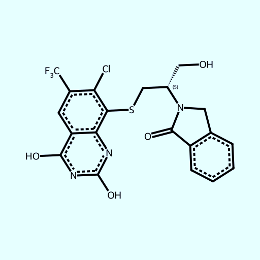 O=C1c2ccccc2CN1[C@@H](CO)CSc1c(Cl)c(C(F)(F)F)cc2c(O)nc(O)nc12